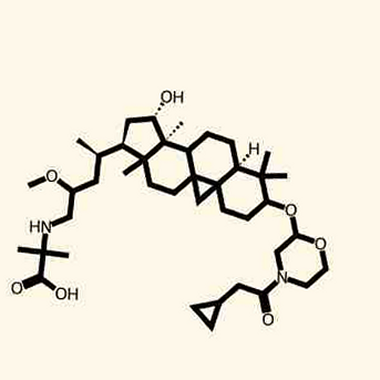 COC(CNC(C)(C)C(=O)O)C[C@@H](C)[C@H]1C[C@H](O)[C@@]2(C)C3CC[C@H]4C(C)(C)C(OC5CN(C(=O)CC6CC6)CCO5)CCC45CC35CCC12C